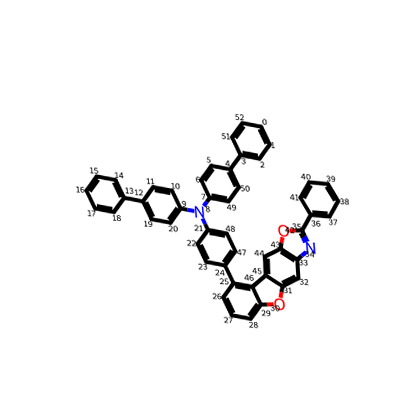 c1ccc(-c2ccc(N(c3ccc(-c4ccccc4)cc3)c3ccc(-c4cccc5oc6cc7nc(-c8ccccc8)oc7cc6c45)cc3)cc2)cc1